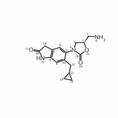 NC[C@@H]1CN(c2cc3c(cc2CC2CC2)NC(=O)C3)C(=O)O1